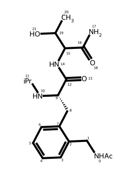 CC(=O)NCc1ccccc1C[C@H](NC(C)C)C(=O)NC(C(N)=O)C(C)O